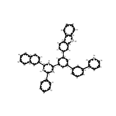 c1ccc(-c2nc(-c3cc(-c4cccc(-c5cccnc5)c4)cc(-c4ccc5c(c4)oc4ccccc45)c3)nc(-c3ccc4ccccc4c3)n2)cc1